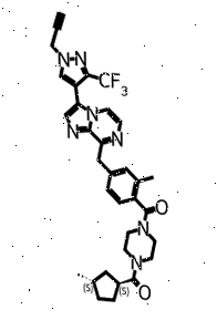 C#CCn1cc(-c2cnc3c(Cc4ccc(C(=O)N5CCN(C(=O)[C@H]6CC[C@H](C)C6)CC5)c(C)c4)nccn23)c(C(F)(F)F)n1